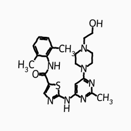 Cc1nc(Nc2ncc(C(=O)Nc3c(C)cccc3C)s2)cc(N2CCN(CCO)CC2)n1